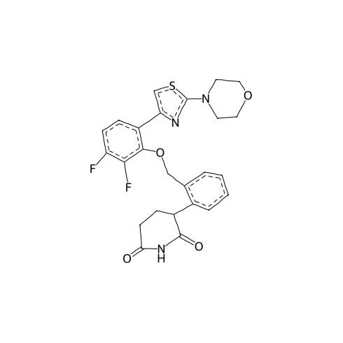 O=C1CCC(c2ccccc2COc2c(-c3csc(N4CCOCC4)n3)ccc(F)c2F)C(=O)N1